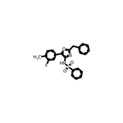 Cc1ccc(-c2oc(Cc3ccccc3)nc2NS(=O)(=O)c2ccccc2)cc1F